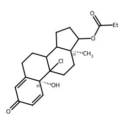 CCC(=O)OC1CCC2C3CCC4=CC(=O)C=C[C@]4(O)C3(Cl)CC[C@]12C